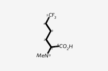 CNC(CCCC(F)(F)F)C(=O)O